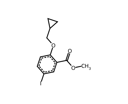 COC(=O)c1cc(I)ccc1OCC1CC1